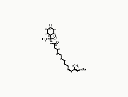 CCCC/C=C(C)/C=C\CCCCCCCCC(=O)OC(C)(C)C1CCNCC1